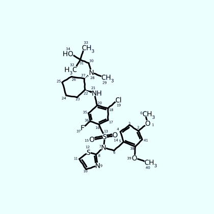 COc1ccc(CN(c2nccs2)S(=O)(=O)c2cc(Cl)c(N[C@H]3CCCC[C@@H]3N(C)CC(C)(C)O)cc2F)c(OC)c1